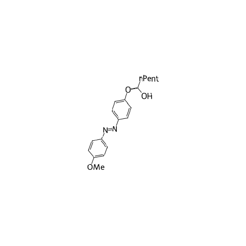 CCCCCC(O)Oc1ccc(/N=N/c2ccc(OC)cc2)cc1